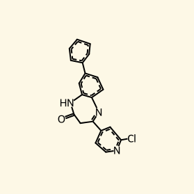 O=C1CC(c2ccnc(Cl)c2)=Nc2ccc(-c3ccccc3)cc2N1